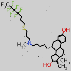 C=C1[C@H](O)CC2C3C(CC[C@]12C)c1ccc(O)cc1C[C@H]3CCCCCN(C)CCCSCCCC(F)(F)C(F)(F)C(F)(F)C(F)(F)F